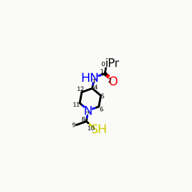 CC(C)C(=O)NC1CCN(C(C)S)CC1